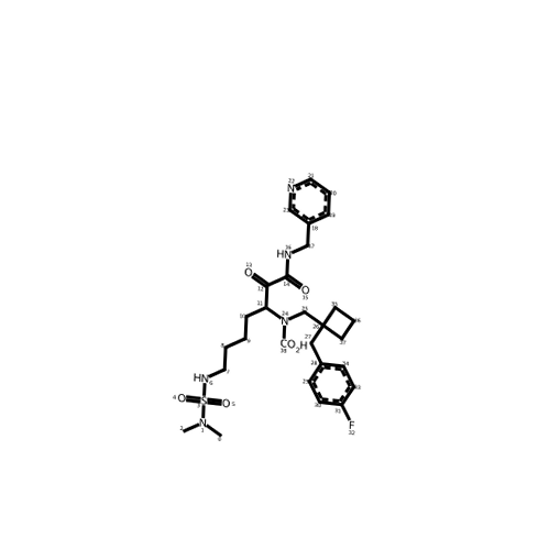 CN(C)S(=O)(=O)NCCCCC(C(=O)C(=O)NCc1cccnc1)N(CC1(Cc2ccc(F)cc2)CCC1)C(=O)O